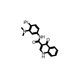 CC(C)c1ccc(NC(=O)c2c[nH]c3ccccc3c2=O)cc1N(C)C